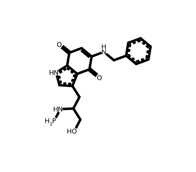 O=C1C=C(NCc2ccccc2)C(=O)c2c(CC(CO)NP)c[nH]c21